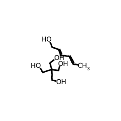 C/C=C/C=C/CO.OCC(CO)(CO)CO